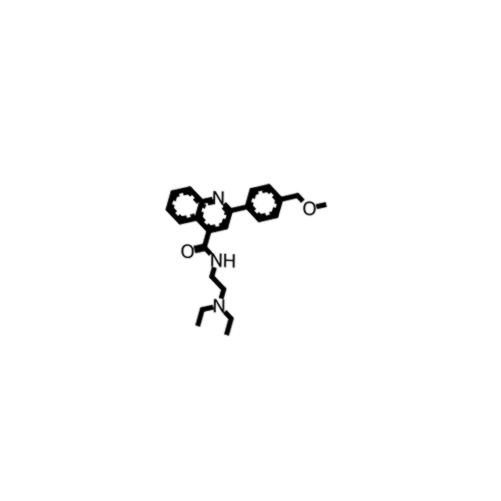 CCN(CC)CCNC(=O)c1cc(-c2ccc(COC)cc2)nc2ccccc12